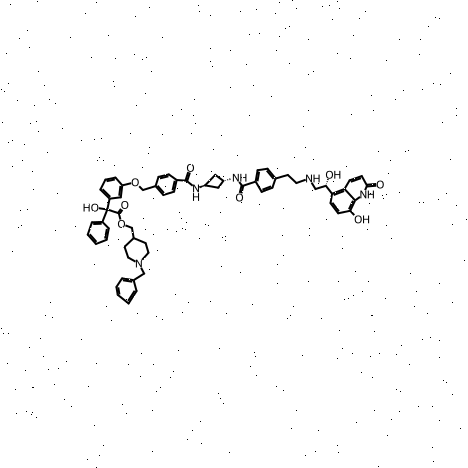 O=C(N[C@H]1C[C@H](NC(=O)c2ccc(COc3cccc(C(O)(C(=O)OCC4CCN(Cc5ccccc5)CC4)c4ccccc4)c3)cc2)C1)c1ccc(CCNC[C@H](O)c2ccc(O)c3[nH]c(=O)ccc23)cc1